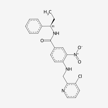 CC[C@@H](NC(=O)c1ccc(NCc2ncccc2Cl)c([N+](=O)[O-])c1)c1ccccc1